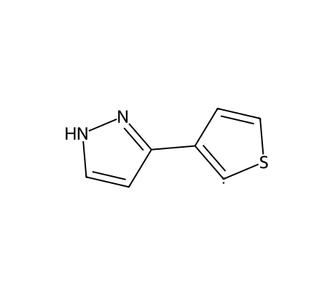 [c]1sccc1-c1cc[nH]n1